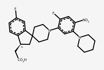 O=C(O)C[C@@H]1CC2(CCN(c3cc(N4CCCCC4)c([N+](=O)[O-])cc3F)CC2)c2cc(F)ccc21